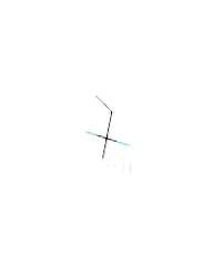 CC(C)CC(F)(F)C(=O)O